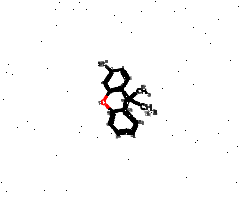 CCc1ccc2c(c1)Oc1ccccc1C2(C)C